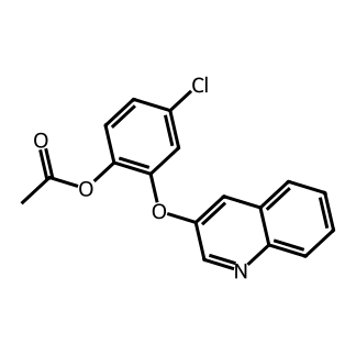 CC(=O)Oc1ccc(Cl)cc1Oc1cnc2ccccc2c1